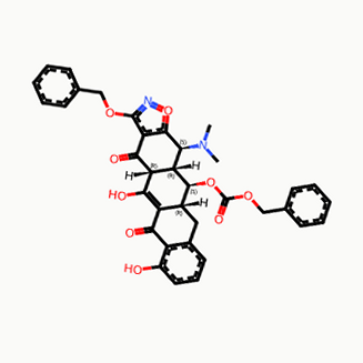 CN(C)[C@@H]1c2onc(OCc3ccccc3)c2C(=O)[C@H]2C(O)=C3C(=O)c4c(O)cccc4C[C@H]3[C@H](OC(=O)OCc3ccccc3)[C@H]21